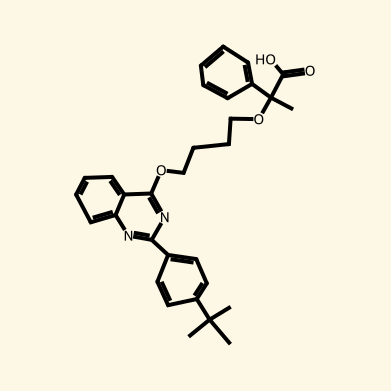 CC(C)(C)c1ccc(-c2nc(OCCCCOC(C)(C(=O)O)c3ccccc3)c3ccccc3n2)cc1